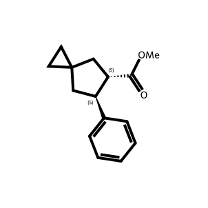 COC(=O)[C@H]1CC2(CC2)C[C@@H]1c1ccccc1